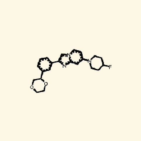 FC1CCN(c2ccn3cc(-c4cccc(C5COCCO5)c4)nc3c2)CC1